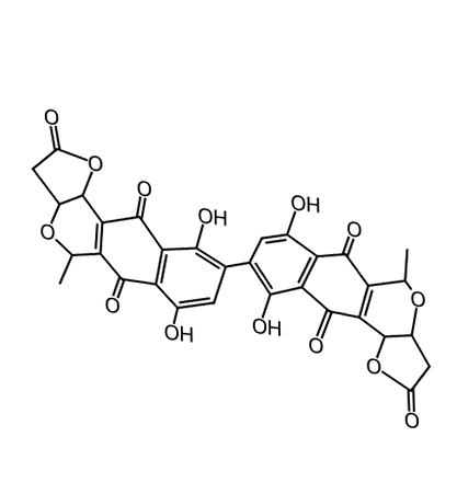 CC1OC2CC(=O)OC2C2=C1C(=O)c1c(O)cc(-c3cc(O)c4c(c3O)C(=O)C3=C(C4=O)C(C)OC4CC(=O)OC34)c(O)c1C2=O